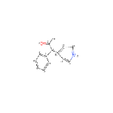 CC(=O)C(c1cc[c]cc1)c1ccncc1